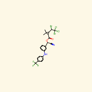 CC1(C)C(C(=O)OC(C#N)c2cccc(Nc3ccc(C(F)(F)F)cc3)c2)C1C(Br)C(Cl)(Cl)Br